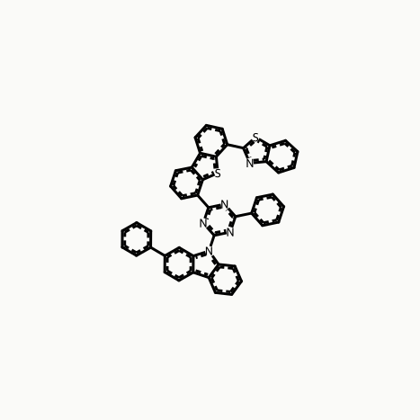 c1ccc(-c2ccc3c4ccccc4n(-c4nc(-c5ccccc5)nc(-c5cccc6c5sc5c(-c7nc8ccccc8s7)cccc56)n4)c3c2)cc1